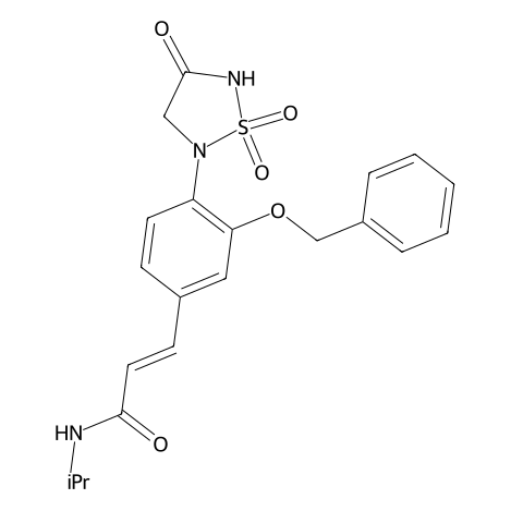 CC(C)NC(=O)/C=C/c1ccc(N2CC(=O)NS2(=O)=O)c(OCc2ccccc2)c1